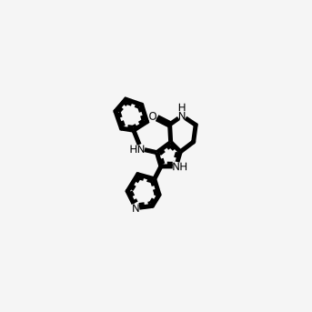 O=C1NCCc2[nH]c(-c3ccncc3)c(Nc3ccccc3)c21